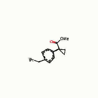 COC(=O)C1(c2ccc(CC(C)C)cc2)CC1